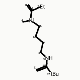 C=C(CC)N(C)CCCCNC(=C)C(C)(C)C